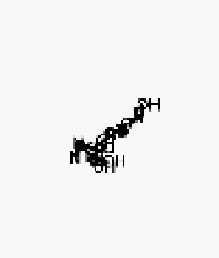 Cc1c(COc2cc(OCc3cncc(C#N)c3)c(C3=NCCC(O)N3CCO)cc2Cl)cccc1-c1cccc(OCCCN2CCC(O)CC2)c1C